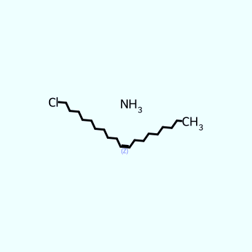 CCCCCCCC/C=C\CCCCCCCCCCl.N